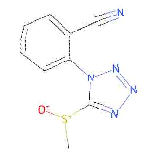 C[S+]([O-])c1nnnn1-c1ccccc1C#N